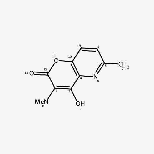 CNc1c(O)c2nc(C)ccc2oc1=O